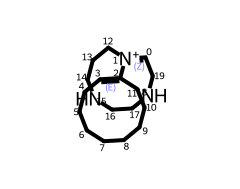 C1=[N+](\C2=C\CCCCCCCC2)CCCNCCNC/1